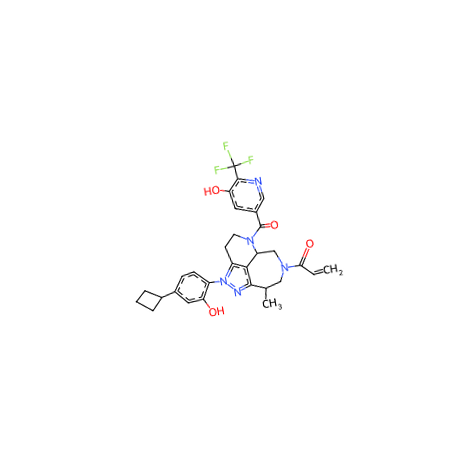 C=CC(=O)N1CC(C)c2nn(-c3ccc(C4CCC4)cc3O)c3c2C(C1)N(C(=O)c1cnc(C(F)(F)F)c(O)c1)CC3